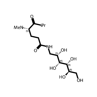 CN[C@@H](CCC(=O)NC[C@H](O)[C@@H](O)[C@H](O)[C@H](O)CO)C(=O)C(C)C